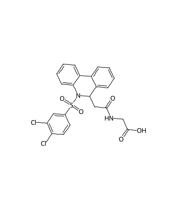 O=C(O)CNC(=O)CC1c2ccccc2-c2ccccc2N1S(=O)(=O)c1ccc(Cl)c(Cl)c1